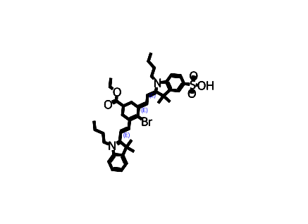 CCCCN1/C(=C/C=C2\CC(C(=O)OCC)CC(/C=C/C3=[N+](CCCC)c4ccccc4C3(C)C)=C2Br)C(C)(C)c2cc(S(=O)(=O)O)ccc21